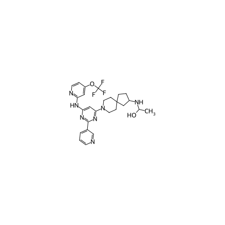 CC(O)NC1CCC2(CCN(c3cc(Nc4cc(OC(F)(F)F)ccn4)nc(-c4cccnc4)n3)CC2)C1